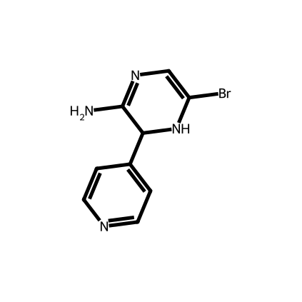 NC1=NC=C(Br)NC1c1ccncc1